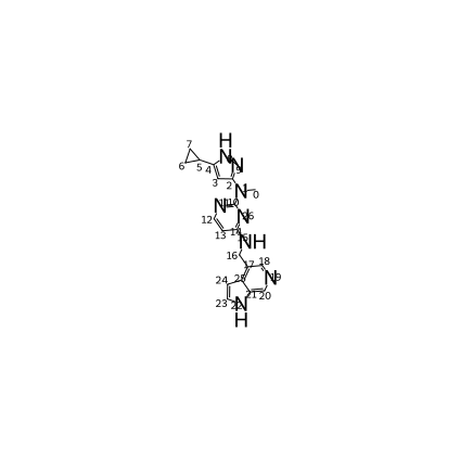 CN(c1cc(C2CC2)[nH]n1)c1nccc(NCc2cncc3[nH]ccc23)n1